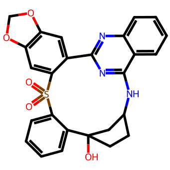 O=S1(=O)c2cc3c(cc2-c2nc(c4ccccc4n2)NC2CCC(O)(C2)c2ccccc21)OCO3